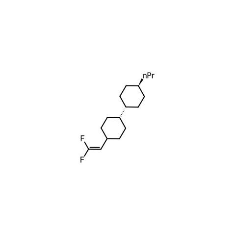 CCC[C@H]1CC[C@H](C2CCC(C=C(F)F)CC2)CC1